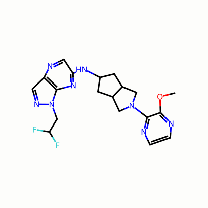 COc1nccnc1N1CC2CC(Nc3cnc4cnn(CC(F)F)c4n3)CC2C1